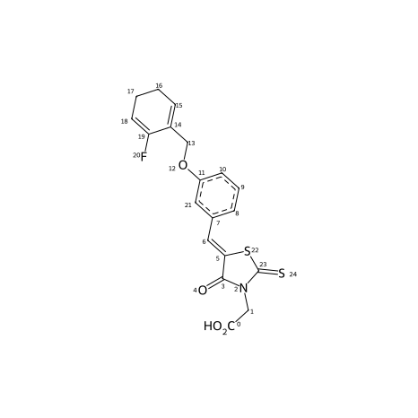 O=C(O)CN1C(=O)/C(=C/c2cccc(OCC3=CCCC=C3F)c2)SC1=S